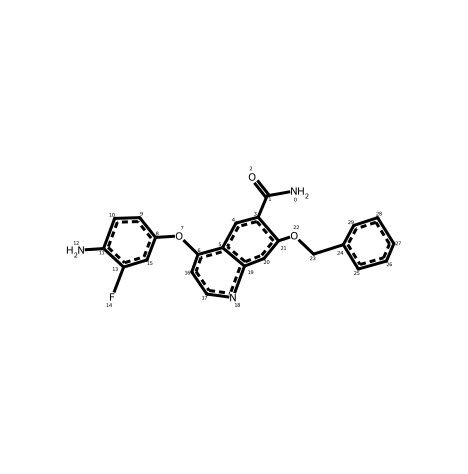 NC(=O)c1cc2c(Oc3ccc(N)c(F)c3)ccnc2cc1OCc1ccccc1